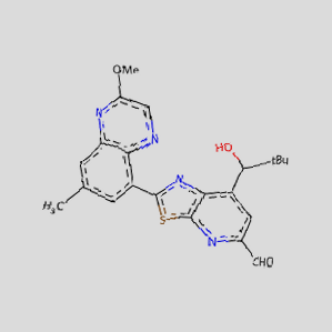 COc1cnc2c(-c3nc4c(C(O)C(C)(C)C)cc(C=O)nc4s3)cc(C)cc2n1